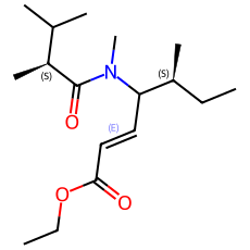 CCOC(=O)/C=C/C([C@@H](C)CC)N(C)C(=O)[C@@H](C)C(C)C